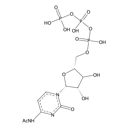 CC(=O)Nc1ccn([C@@H]2O[C@H](COP(=O)(O)OP(=O)(O)OP(=O)(O)O)C(O)[C@@H]2O)c(=O)n1